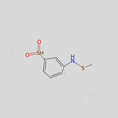 CSNc1cccc([SH](=O)=O)c1